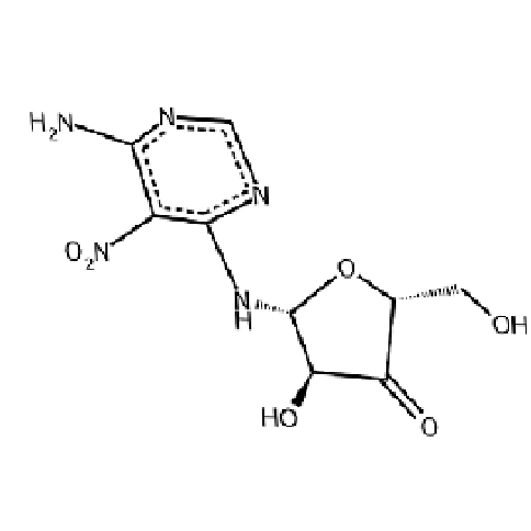 Nc1ncnc(N[C@@H]2O[C@H](CO)C(=O)[C@H]2O)c1[N+](=O)[O-]